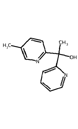 Cc1ccc(C(C)(O)c2ccccn2)nc1